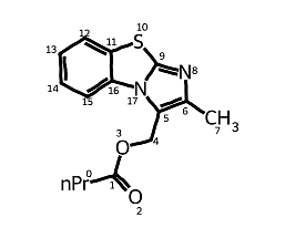 CCCC(=O)OCc1c(C)nc2sc3ccccc3n12